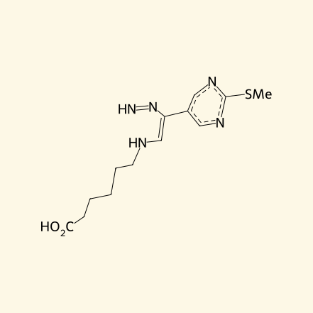 CSc1ncc(/C(=C/NCCCCCC(=O)O)N=N)cn1